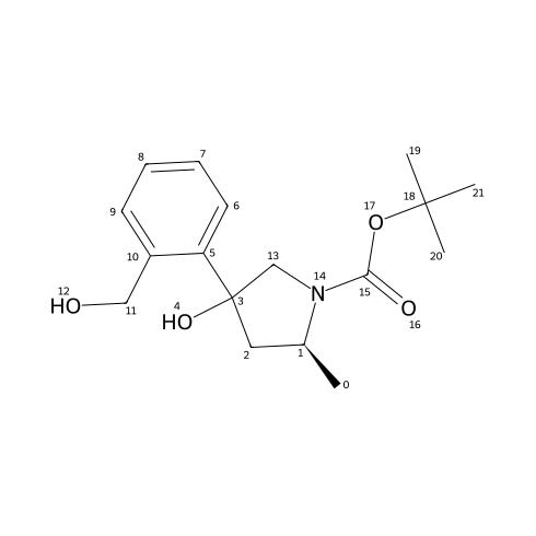 C[C@H]1CC(O)(c2ccccc2CO)CN1C(=O)OC(C)(C)C